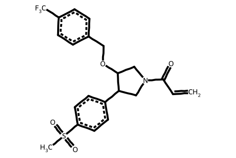 C=CC(=O)N1CC(OCc2ccc(C(F)(F)F)cc2)C(c2ccc(S(C)(=O)=O)cc2)C1